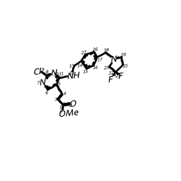 COC(=O)/C=C/c1cnc(Cl)nc1NCc1ccc(CN2CCC(F)(F)C2)cc1